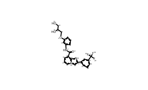 O=C(Nc1cccc(OCC(O)CO)c1)c1cccn2cc(-c3cccc(C(F)(F)F)c3)nc12